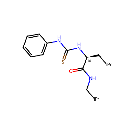 CC(C)CNC(=O)[C@H](CC(C)C)NC(=S)Nc1ccccc1